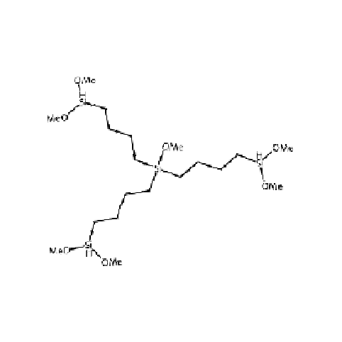 CO[SiH](CCCC[Si](CCCC[SiH](OC)OC)(CCCC[SiH](OC)OC)OC)OC